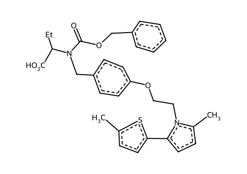 CCC(C(=O)O)N(Cc1ccc(OCCn2c(C)ccc2-c2ccc(C)s2)cc1)C(=O)OCc1ccccc1